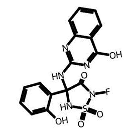 O=C1N(F)S(=O)(=O)NC1(Nc1nc(O)c2ccccc2n1)c1ccccc1O